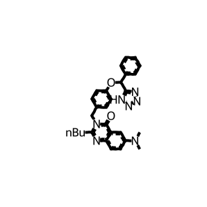 CCCCc1nc2ccc(N(C)C)cc2c(=O)n1Cc1ccc(OC(c2ccccc2)c2nnn[nH]2)cc1